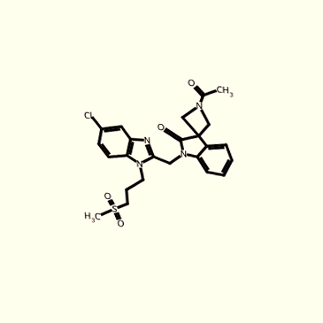 CC(=O)N1CC2(C1)C(=O)N(Cc1nc3cc(Cl)ccc3n1CCCS(C)(=O)=O)c1ccccc12